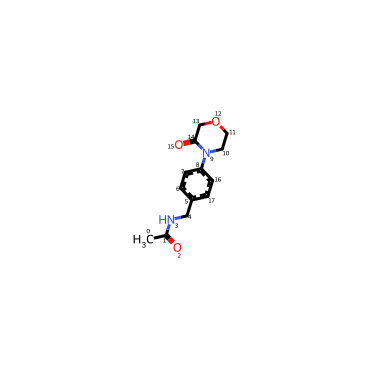 CC(=O)NCc1ccc(N2CCOCC2=O)cc1